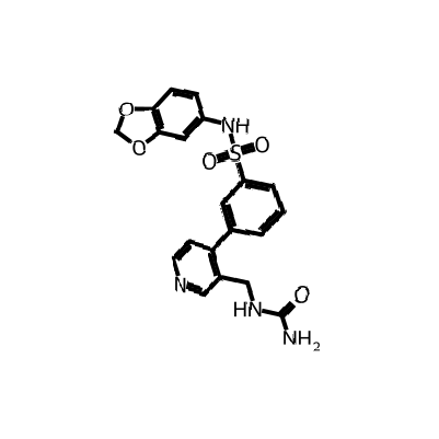 NC(=O)NCc1cnccc1-c1cccc(S(=O)(=O)Nc2ccc3c(c2)OCO3)c1